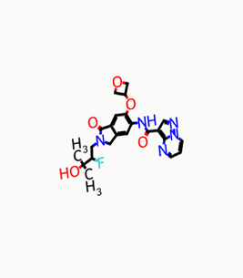 CC(C)(O)C(F)CN1Cc2cc(NC(=O)c3cnn4cccnc34)c(OC3COC3)cc2C1=O